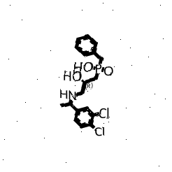 CC(NC[C@@H](O)CP(=O)(O)Cc1ccccc1)c1ccc(Cl)c(Cl)c1